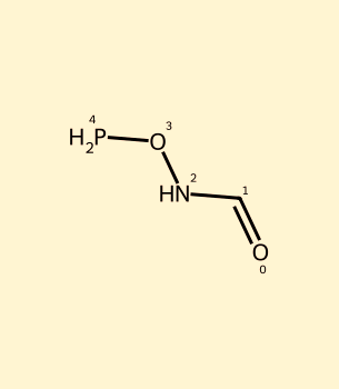 O=CNOP